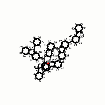 CC1(C)c2ccccc2-c2cc3c4ccccc4n(-c4nc5c(-n6c7ccccc7c7cc(-c8ccc9oc%10ccccc%10c9c8)ccc76)cccc5nc4N(c4ccccc4)c4ccc5c6ccccc6n(-c6ccccc6)c5c4)c3cc21